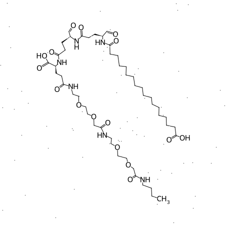 CCCCNC(=O)COCCOCCNC(=O)COCCOCCNC(=O)CC[C@H](NC(=O)CC[C@@H](C=O)NC(=O)CC[C@@H](C=O)NC(=O)CCCCCCCCCCCCCCCCC(=O)O)C(=O)O